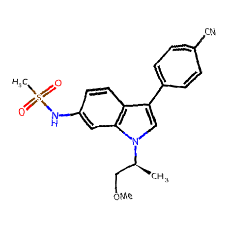 COC[C@H](C)n1cc(-c2ccc(C#N)cc2)c2ccc(NS(C)(=O)=O)cc21